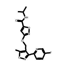 Cc1onc(-c2ccc(F)cn2)c1COc1cc(C(=O)NC(C)C)on1